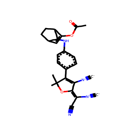 [C-]#[N+]C1=C(c2ccc(NC3C4C=C(OC(C)=O)C3CC4)cc2)C(C)(C)O/C1=C(\C#N)[N+]#[C-]